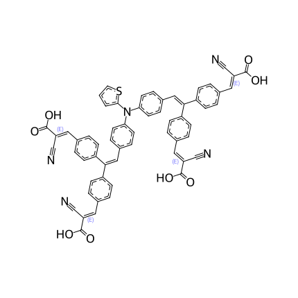 N#C/C(=C\c1ccc(C(=Cc2ccc(N(c3ccc(C=C(c4ccc(/C=C(\C#N)C(=O)O)cc4)c4ccc(/C=C(\C#N)C(=O)O)cc4)cc3)c3cccs3)cc2)c2ccc(/C=C(\C#N)C(=O)O)cc2)cc1)C(=O)O